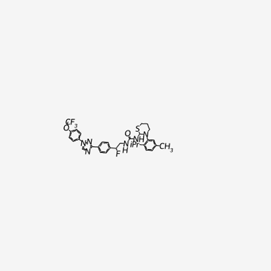 Cc1ccc(C(C)C)c(N2CCCSC2NC(=O)NCC(F)c2ccc(-c3ncn(-c4ccc(OC(F)(F)F)cc4)n3)cc2)c1